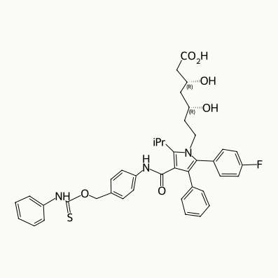 CC(C)c1c(C(=O)Nc2ccc(COC(=S)Nc3ccccc3)cc2)c(-c2ccccc2)c(-c2ccc(F)cc2)n1CC[C@@H](O)C[C@@H](O)CC(=O)O